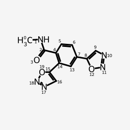 CNC(=O)c1ccc(-c2cnno2)cc1-c1cnno1